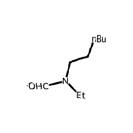 CCCCCCN([C]=O)CC